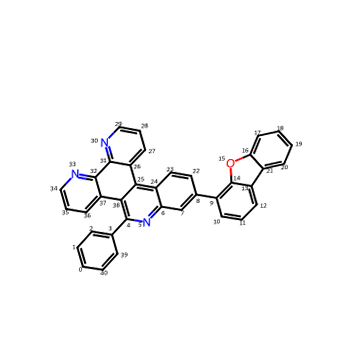 c1ccc(-c2nc3cc(-c4cccc5c4oc4ccccc45)ccc3c3c4cccnc4c4ncccc4c23)cc1